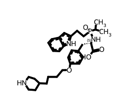 CC(C)P(=O)(CCc1cc2ccccc2[nH]1)N[C@@H](Cc1ccc(OCCCCC2CCNCC2)cc1)C(=O)O